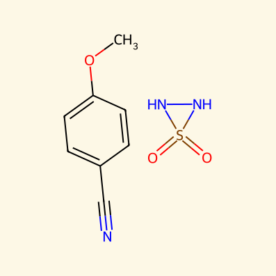 COc1ccc(C#N)cc1.O=S1(=O)NN1